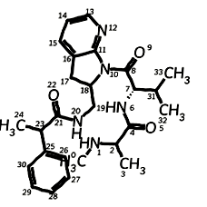 CNC(C)C(=O)N[C@H](C(=O)N1c2ncccc2CC1CNC(=O)C(C)c1ccccc1)C(C)C